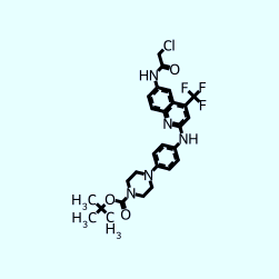 CC(C)(C)OC(=O)N1CCN(c2ccc(Nc3cc(C(F)(F)F)c4cc(NC(=O)CCl)ccc4n3)cc2)CC1